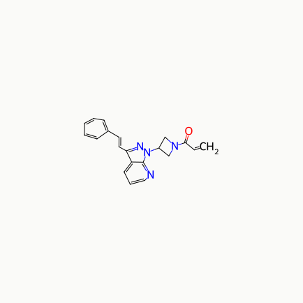 C=CC(=O)N1CC(n2nc(/C=C/c3ccccc3)c3cccnc32)C1